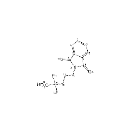 O=C1c2ccccc2C(=O)N1CCCC(F)(F)C(=O)O